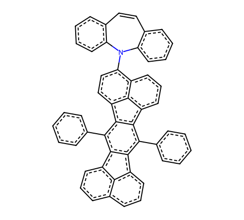 C1=Cc2ccccc2N(c2ccc3c4c(-c5ccccc5)c5c6cccc7cccc(c5c(-c5ccccc5)c4c4cccc2c43)c76)c2ccccc21